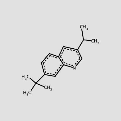 CC(C)c1cnc2cc(C(C)(C)C)ccc2c1